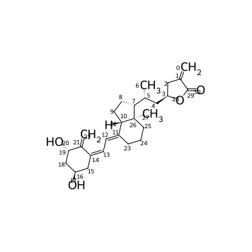 C=C1C[C@H](C[C@@H](C)[C@H]2CC[C@H]3/C(=C/C=C4/C[C@@H](O)C[C@H](O)C4=C)CCC[C@]23C)OC1=O